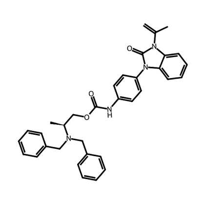 C=C(C)n1c(=O)n(-c2ccc(NC(=O)OC[C@H](C)N(Cc3ccccc3)Cc3ccccc3)cc2)c2ccccc21